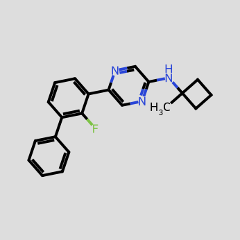 CC1(Nc2cnc(-c3cccc(-c4ccccc4)c3F)cn2)CCC1